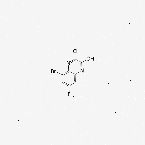 Oc1nc2cc(F)cc(Br)c2nc1Cl